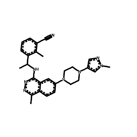 Cc1c(C#N)cccc1C(C)Nc1nnc(C)c2ccc(N3CCN(c4cnn(C)c4)CC3)cc12